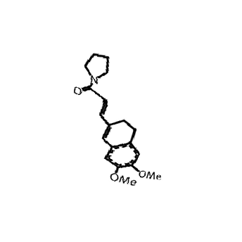 COc1cc2c(cc1OC)CCC(C=CC(=O)N1CCCC1)=C2